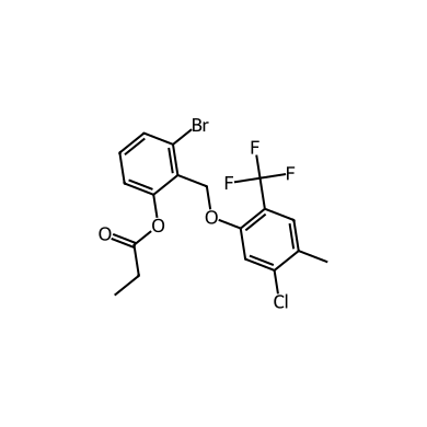 CCC(=O)Oc1cccc(Br)c1COc1cc(Cl)c(C)cc1C(F)(F)F